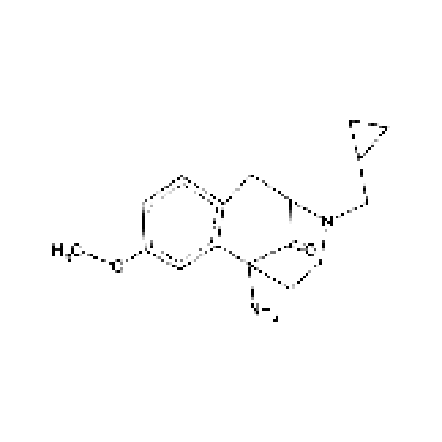 COc1ccc2c(c1)C1(N)CCN(CC3CC3)C(C2)C1=O